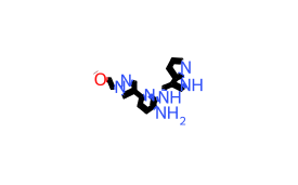 COCCn1cc(-c2ccc(N)c(NCc3c[nH]c4ncccc34)n2)cn1